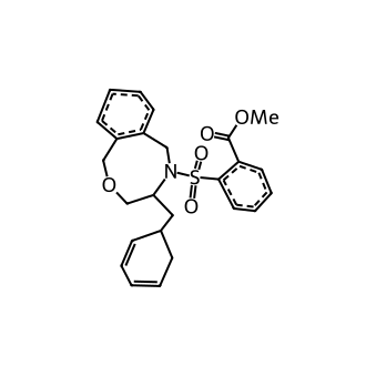 COC(=O)c1ccccc1S(=O)(=O)N1Cc2ccccc2COCC1CC1C=CC=CC1